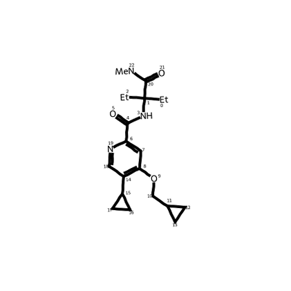 CCC(CC)(NC(=O)c1cc(OCC2CC2)c(C2CC2)cn1)C(=O)NC